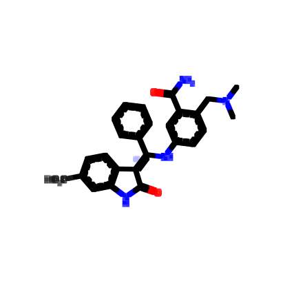 CCOC(=O)c1ccc2c(c1)NC(=O)/C2=C(\Nc1ccc(CN(C)C)c(C(N)=O)c1)c1ccccc1